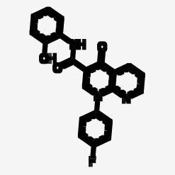 O=C(Nc1ccccc1O)c1cn(-c2ccc(F)cc2)c2ncccc2c1=O